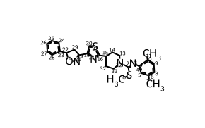 CSC(=Nc1cc(C)ccc1C)N1CCC(c2nc(C3=NOC(c4ccccc4)C3)cs2)CC1